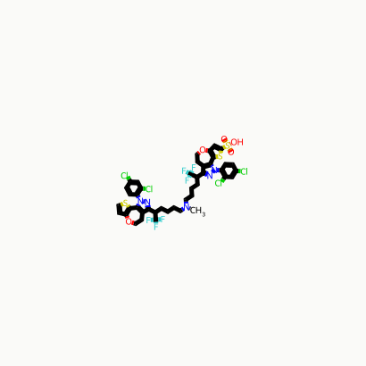 CN(CCCCC(c1nn(-c2ccc(Cl)cc2Cl)c2c1CCOc1ccsc1-2)C(F)(F)F)CCCCC(c1nn(-c2ccc(Cl)cc2Cl)c2c1CCOc1cc(S(=O)(=O)O)sc1-2)C(F)(F)F